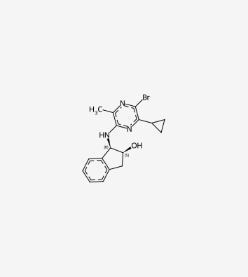 Cc1nc(Br)c(C2CC2)nc1N[C@@H]1c2ccccc2C[C@@H]1O